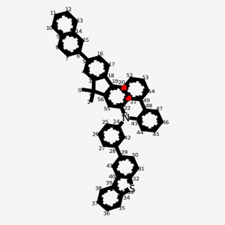 CC1(C)c2cc(-c3ccc4ccccc4c3)ccc2-c2ccc(N(c3cccc(-c4ccc5sc6ccccc6c5c4)c3)c3ccccc3-c3ccccc3)cc21